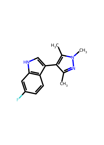 Cc1nn(C)c(C)c1-c1c[nH]c2cc(F)ccc12